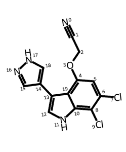 N#CCOc1cc(Cl)c(Cl)c2[nH]cc(-c3cn[nH]c3)c12